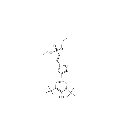 CCOP(=O)(/C=C/c1cc(-c2cc(C(C)(C)C)c(O)c(C(C)(C)C)c2)no1)OCC